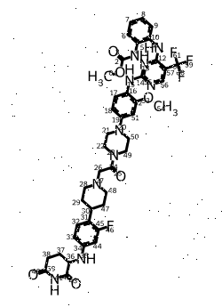 COC(=O)Nc1ccccc1Nc1nc(Nc2ccc(N3CCN(C(=O)CN4CCC(c5ccc(NC6CCC(=O)NC6=O)cc5F)CC4)CC3)cc2OC)ncc1C(F)(F)F